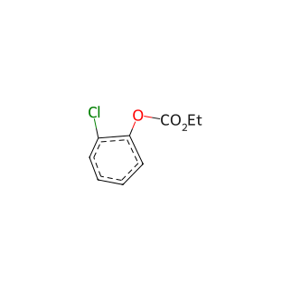 CCOC(=O)Oc1ccccc1Cl